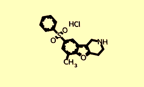 Cc1cc(S(=O)(=O)c2ccccc2)cc2c3c(oc12)CCNC3.Cl